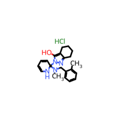 Cc1ccccc1CN(C)C1(n2nc3c(c2O)CCCC3)C=CC=CN1.Cl